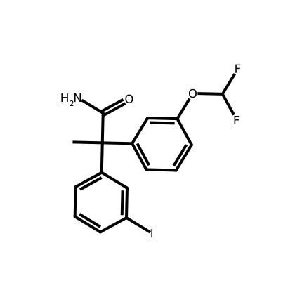 CC(C(N)=O)(c1cccc(I)c1)c1cccc(OC(F)F)c1